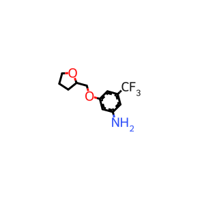 Nc1cc(OCC2CCCO2)cc(C(F)(F)F)c1